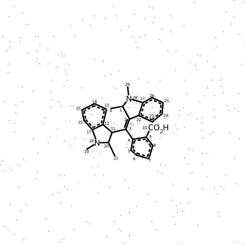 CC1/C(=C(/c2ccccc2C(=O)O)C2c3ccccc3N(C)C2C)c2ccccc2N1C